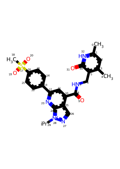 Cc1cc(C)c(CNC(=O)c2cc(-c3ccc(S(C)(=O)=O)cc3)nc3c2cnn3C(C)C)c(=O)[nH]1